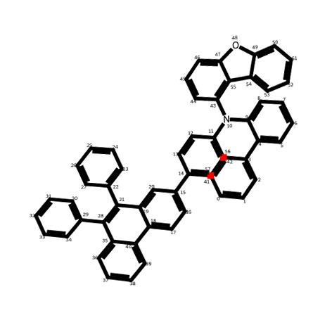 c1ccc(-c2ccccc2N(c2ccc(-c3ccc4c(c3)c(-c3ccccc3)c(-c3ccccc3)c3ccccc34)cc2)c2cccc3oc4ccccc4c23)cc1